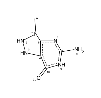 CN1NNc2c1nc(N)[nH]c2=O